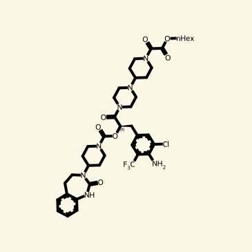 CCCCCCOC(=O)C(=O)N1CCC(N2CCN(C(=O)[C@@H](Cc3cc(Cl)c(N)c(C(F)(F)F)c3)OC(=O)N3CCC(N4CCc5ccccc5NC4=O)CC3)CC2)CC1